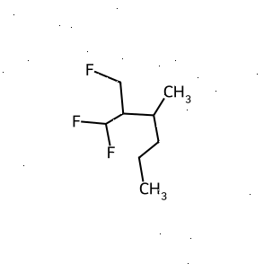 CCCC(C)C(CF)C(F)F